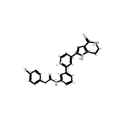 O=C(Cc1ccc(F)cc1)Nc1cccc(-c2cc(-c3cc4c([nH]3)CCNC4=O)ccn2)c1